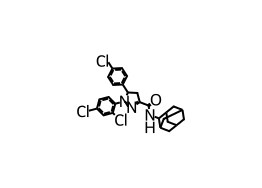 O=C(NC1C2CC3CC(C2)CC1C3)C1=NN(c2ccc(Cl)cc2Cl)C(c2ccc(Cl)cc2)C1